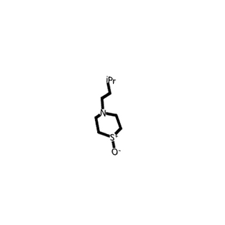 CC(C)CCN1CC[S+]([O-])CC1